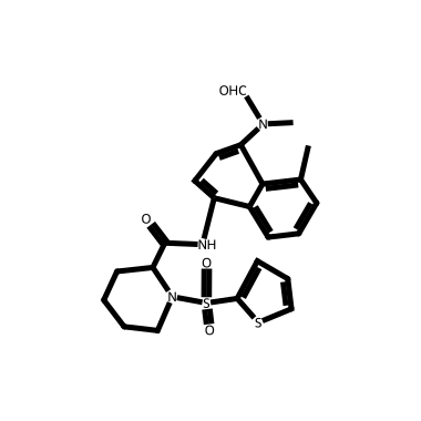 Cc1cccc2c(NC(=O)C3CCCCN3S(=O)(=O)c3cccs3)ccc(N(C)C=O)c12